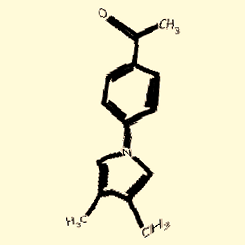 CC(=O)c1ccc(-n2cc(C)c(C)c2)cc1